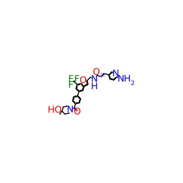 CC1(O)CCN(C(=O)c2ccc(-c3cc(C(F)(F)F)c4oc(CNC(=O)/C=C/c5ccc(N)nc5)cc4c3)cc2)CC1